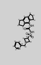 O=C(Nc1c2c(cc3c1CCC3)CCC2)NS(=O)(=O)C1CN(Cc2ccccn2)C1